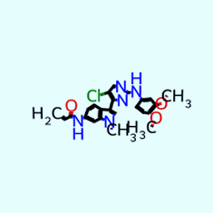 C=CC(=O)Nc1ccc2c(-c3nc(Nc4ccc(OC)c(OC)c4)ncc3Cl)cn(C)c2c1